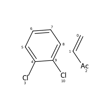 C=CC(C)=O.Clc1ccccc1Cl